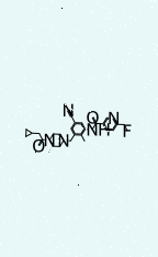 Cc1c(CN2CCN(C(=O)CC3CC3)[C@@H](C)C2)cc(C#N)cc1NC(=O)c1ccc(CF)nc1